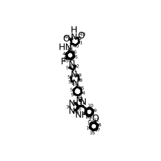 Nc1ncnc2c1c(-c1ccc(Oc3ccccc3)cc1)nn2C1CCC(N2CCN(C3CN(c4ccc(NC5CCC(=O)NC5=O)cc4F)C3)CC2)CC1